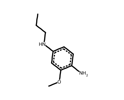 CCCNc1ccc(N)c(OC)c1